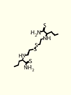 CCCC(NCCSSCCNC(CCC)C(N)=S)C(N)=S